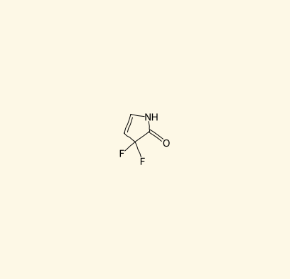 O=C1NC=CC1(F)F